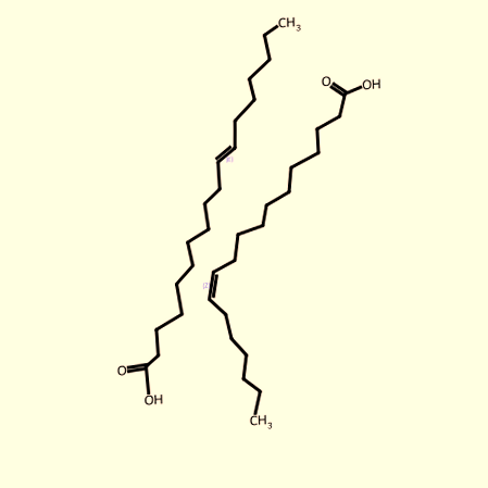 CCCCCC/C=C/CCCCCCCCCC(=O)O.CCCCCC/C=C\CCCCCCCCCC(=O)O